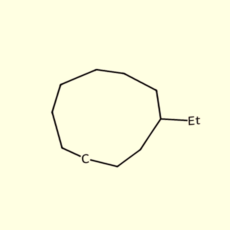 [CH2]CC1CCCCCCCCC1